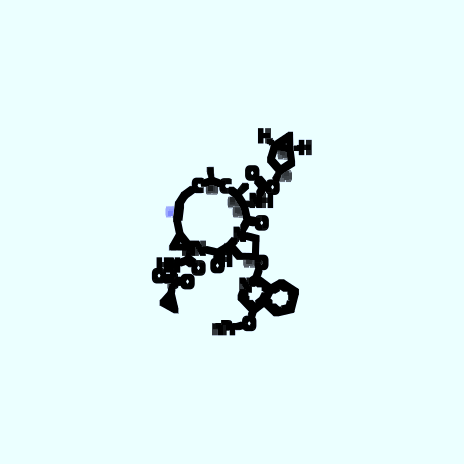 CCCOc1cnc(O[C@@H]2C[C@H]3C(=O)N[C@]4(C(=O)NS(=O)(=O)C5CC5)CC4/C=C\CC[C@@H](C)C[C@@H](C)[C@H](NC(=O)O[C@@H]4C[C@@H]5C[C@@H]5C4)C(=O)N3C2)c2ccccc12